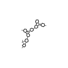 Cc1ccc(-n2c3ccccc3c3cc(-c4ccc(-n5c6ccc(C)cc6c6cc(-c7ccc8c(c7)C(C)(C)c7cc(C)ccc7-8)ccc65)cc4)ccc32)cc1